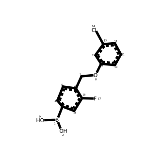 OB(O)c1ccc(COc2cccc(Cl)c2)c(F)c1